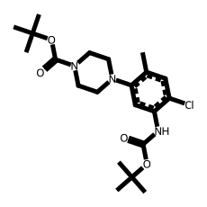 Cc1cc(Cl)c(NC(=O)OC(C)(C)C)cc1N1CCN(C(=O)OC(C)(C)C)CC1